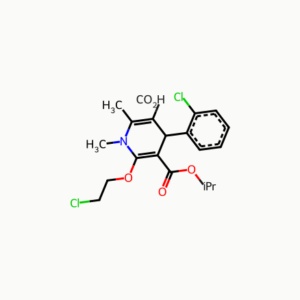 CC1=C(C(=O)O)C(c2ccccc2Cl)C(C(=O)OC(C)C)=C(OCCCl)N1C